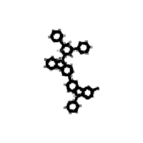 Cc1ccc2c(c1)c1cc(-c3ccc4c(c3)c3ccccc3n4-c3nc(-c4ccccc4)nc(-c4ccccc4)n3)ccc1n2-c1ccccc1